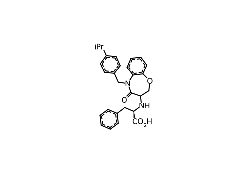 CC(C)c1ccc(CN2C(=O)C(N[C@H](Cc3ccccc3)C(=O)O)COc3ccccc32)cc1